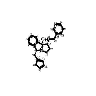 O[C@@]12c3ccccc3[C@H](CC3=CC=CC3)N1CC[C@@H]2CCc1cccnc1